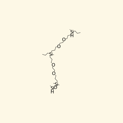 CCC[SiH](C)CCCOCCOCCC[Si](C)(CCC)CCCOCCOCCC[Si](C)(C)O[SiH](C)C